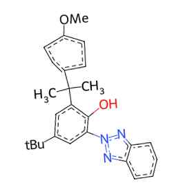 COc1ccc(C(C)(C)c2cc(C(C)(C)C)cc(-n3nc4ccccc4n3)c2O)cc1